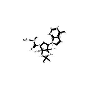 CON(C)C(=O)[C@H]1C[C@@H](n2ccc3c(C)ncnc32)[C@@H]2OC(C)(C)O[C@@H]21